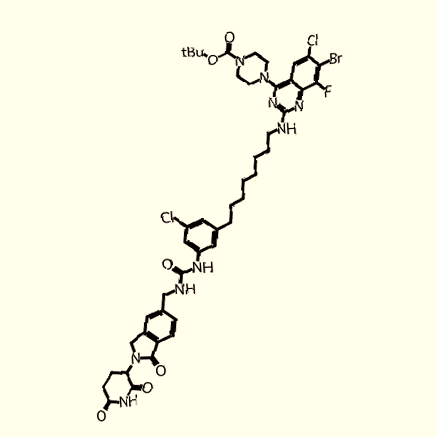 CC(C)(C)OC(=O)N1CCN(c2nc(NCCCCCCCCc3cc(Cl)cc(NC(=O)NCc4ccc5c(c4)CN(C4CCC(=O)NC4=O)C5=O)c3)nc3c(F)c(Br)c(Cl)cc23)CC1